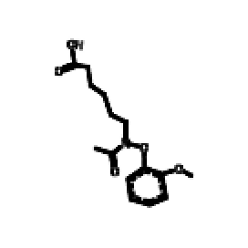 COc1ccccc1ON(CCCCCC(=O)O)C(C)=O